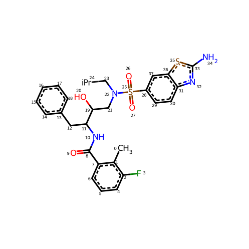 Cc1c(F)cccc1C(=O)NC(Cc1ccccc1)C(O)CN(CC(C)C)S(=O)(=O)c1ccc2nc(N)sc2c1